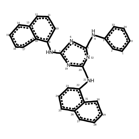 c1ccc(Nc2nc(Nc3cccc4ccccc34)nc(Nc3cccc4ccccc34)n2)cc1